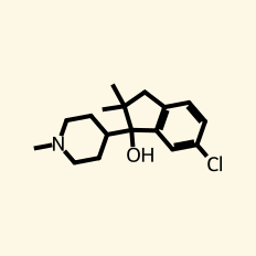 CN1CCC(C2(O)c3cc(Cl)ccc3CC2(C)C)CC1